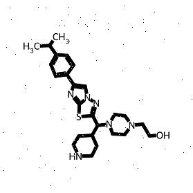 CC(C)c1ccc(-c2cn3nc(C(C4CCNCC4)N4CCN(CCO)CC4)sc3n2)cc1